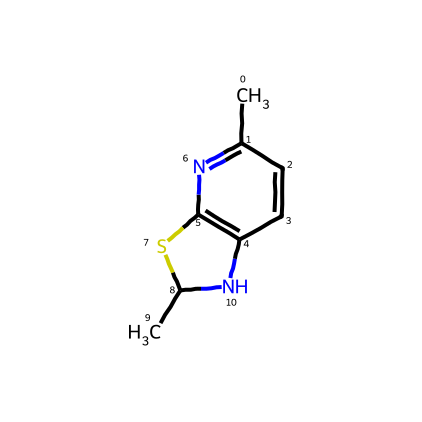 Cc1ccc2c(n1)SC(C)N2